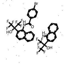 Nc1c(C(O)(C(F)(F)F)C(F)(F)F)ccc2ccccc12.O=C(Nc1c(C(O)(C(F)(F)F)C(F)(F)F)ccc2ccccc12)c1ccc(Br)cc1